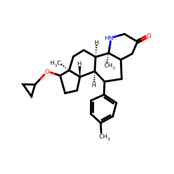 Cc1ccc(C2CC3CC(=O)CN[C@]3(C)[C@@H]3CC[C@]4(C)C(OC5CC5)CC[C@H]4[C@H]23)cc1